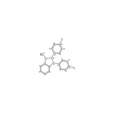 CCC1c2cc[c]cc2C(c2ccc(C)cc2)C1c1ccc(C)cc1